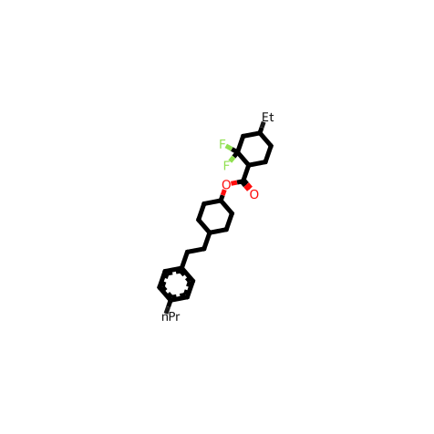 CCCc1ccc(CCC2CCC(OC(=O)C3CCC(CC)CC3(F)F)CC2)cc1